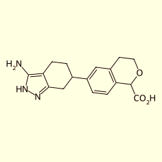 Nc1[nH]nc2c1CCC(c1ccc3c(c1)CCOC3C(=O)O)C2